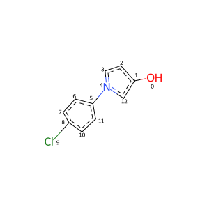 Oc1ccn(-c2ccc(Cl)cc2)c1